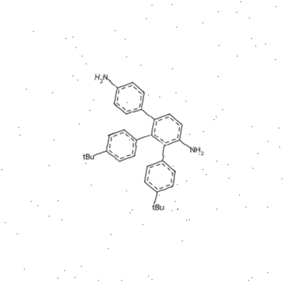 CC(C)(C)c1ccc(-c2c(N)ccc(-c3ccc(N)cc3)c2-c2ccc(C(C)(C)C)cc2)cc1